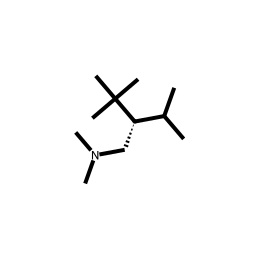 CC(C)[C@H](CN(C)C)C(C)(C)C